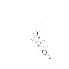 CCCCOc1noc2c1C(=O)[C@@]1(O)C(O)=C3C(=O)c4c(O)c(NC)cc(F)c4C[C@H]3C[C@H]1[C@@H]2N(C)C